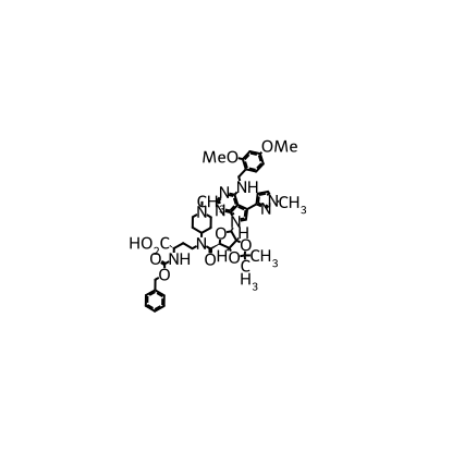 COc1ccc(CNc2ncnc3c2c(-c2ccn(C)n2)cn3[C@@H]2O[C@H](C(=O)N(CC[C@H](NC(=O)OCc3ccccc3)C(=O)O)C3CCN(C)CC3)[C@H]3OC(C)(C)O[C@H]32)c(OC)c1